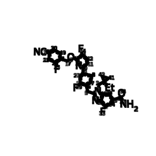 CCC1(Cn2c(Cc3ccc(-c4ccc(F)c(OCc5ccc(C#N)cc5F)n4)cc3F)nc3c(F)cc(C(N)=O)cc32)CC1